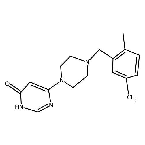 Cc1ccc(C(F)(F)F)cc1CN1CCN(c2cc(=O)[nH]cn2)CC1